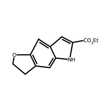 CCOC(=O)c1cc2cc3c(cc2[nH]1)CCO3